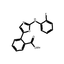 COC(=O)c1ccccc1-c1cnc(Nc2ccccc2F)o1